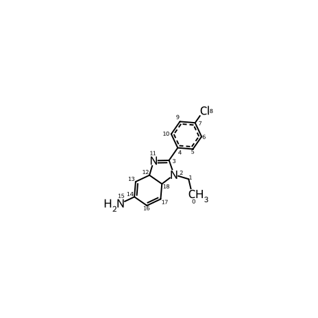 CCN1C(c2ccc(Cl)cc2)=NC2C=C(N)C=CC21